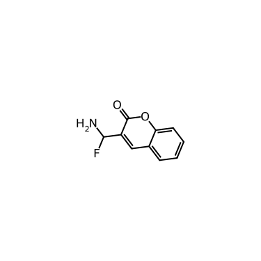 NC(F)c1cc2ccccc2oc1=O